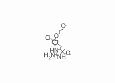 COCCCOc1cc(CC(NC(=N)N)C(C)(C)COC)ccc1Cl